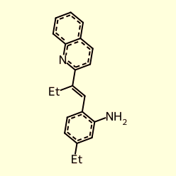 CCC(=Cc1ccc(CC)cc1N)c1ccc2ccccc2n1